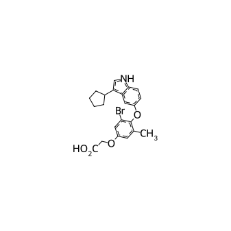 Cc1cc(OCC(=O)O)cc(Br)c1Oc1ccc2[nH]cc(C3CCCC3)c2c1